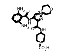 C1COCCN1.Nc1cccc(N)c1C(=O)Nc1c[nH]nc1C(=O)NC1CCN(C(=O)O)CC1